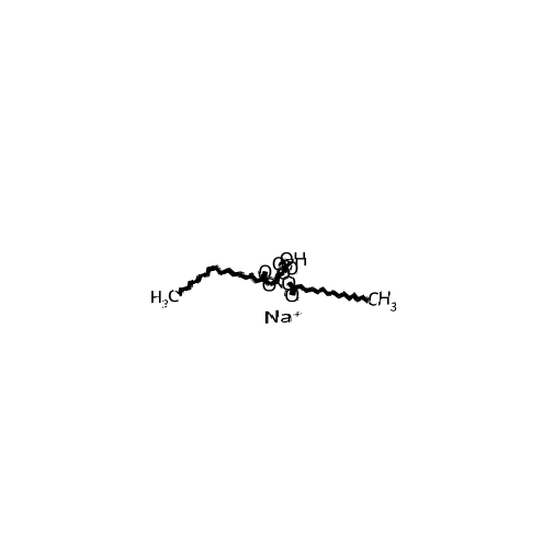 CCCCCCCC/C=C\CCCCCCCC(=O)O[C@H](COC(=O)CCCCCCCCCCCCCCC)COP(=O)([O-])O.[Na+]